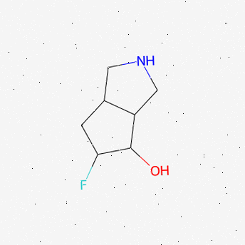 OC1C(F)CC2CNCC21